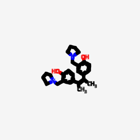 CC(=C(C)c1ccc(O)c(CN2CCCC2)c1)c1ccc(O)c(CN2CCCC2)c1